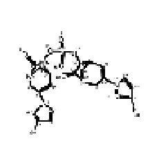 O=C1N2CC(n3ccc(F)n3)=CC(C2)N1OS(=O)(=O)ON1C(=O)N2CC(n3ccc(F)n3)=CC1C2